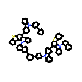 c1ccc(-c2cccc(-n3c4ccccc4c4cc(-c5cc6sc7ccccc7c6c6c5c5ccccc5n6-c5cccc6cc(-c7cccc(-c8ccc(-n9c%10ccccc%10c%10cc(-c%11cc%12sc%13ccccc%13c%12c%12c%11c%11ccccc%11n%12-c%11cccc%12ccccc%11%12)ccc%109)cc8)c7)ccc56)ccc43)c2)cc1